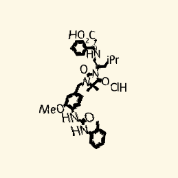 COc1cc(CN2C(=O)N([C@@H](CN[C@@H](CC(=O)O)c3ccccc3)CC(C)C)C(=O)C2(C)C)ccc1NC(=O)Nc1ccccc1C.Cl